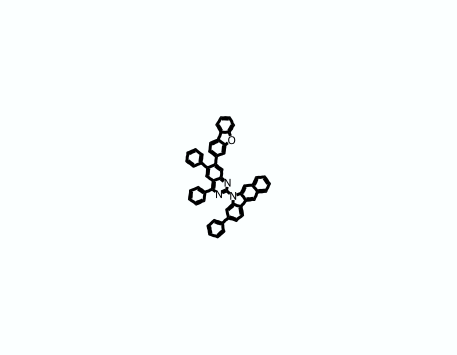 c1ccc(-c2ccc3c4cc5ccccc5cc4n(-c4nc(-c5ccccc5)c5cc(-c6ccccc6)c(-c6ccc7c(c6)oc6ccccc67)cc5n4)c3c2)cc1